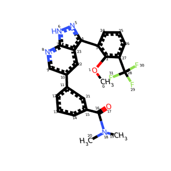 COc1c(-c2n[nH]c3ncc(-c4cccc(C(=O)N(C)C)c4)cc23)cccc1C(F)(F)F